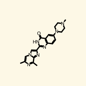 Cc1cn2cc(-c3nc4ccc(N5CCN(C)CC5)cc4c(=O)[nH]3)nc2c(C)n1